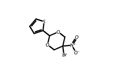 O=[N+]([O-])C1(Br)COC(c2cccs2)OC1